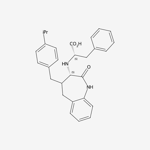 CC(C)c1ccc(CC2Cc3ccccc3NC(=O)[C@H]2N[C@@H](Cc2ccccc2)C(=O)O)cc1